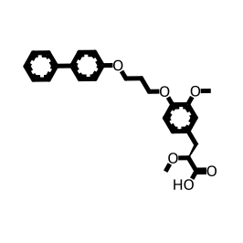 COc1cc(C[C@H](OC)C(=O)O)ccc1OCCCOc1ccc(-c2ccccc2)cc1